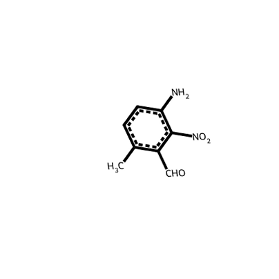 Cc1ccc(N)c([N+](=O)[O-])c1C=O